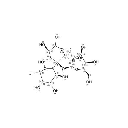 C[C@@H]1OC([C@]2(O[C@@H]3O[C@H](CO)[C@H](O)[C@H](O)[C@H]3O)[C@H](O)[C@@H](O)C(O)O[C@@H]2CO)[C@@H](O)[C@H](O)[C@@H]1O